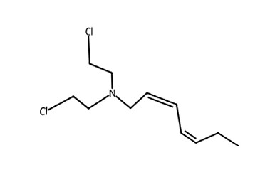 CC/C=C\C=C/CN(CCCl)CCCl